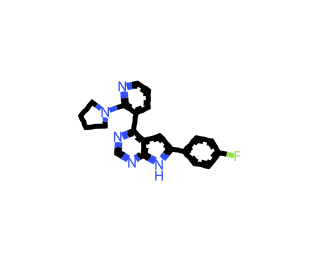 Fc1ccc(-c2cc3c(-c4cccnc4N4CCCC4)ncnc3[nH]2)cc1